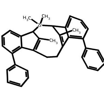 CC1=C2CCC3=C(C)[CH](c4cccc(-c5ccccc5)c43)[Zr]([CH3])([CH3])[CH]1c1cccc(-c3ccccc3)c12